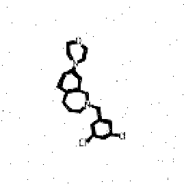 Clc1cc(Cl)cc(CN2CCCc3ccc(N4CCOCC4)cc3C2)c1